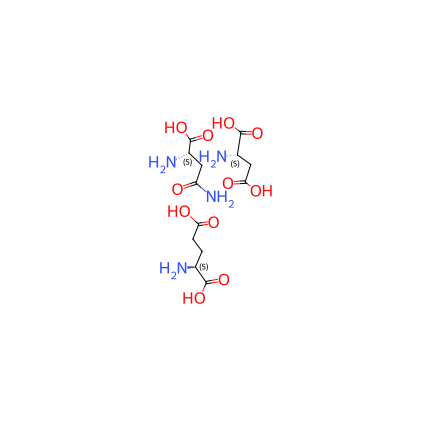 NC(=O)C[C@H](N)C(=O)O.N[C@@H](CC(=O)O)C(=O)O.N[C@@H](CCC(=O)O)C(=O)O